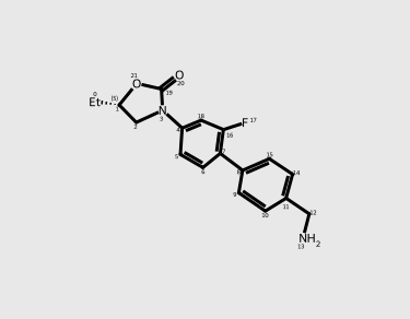 CC[C@H]1CN(c2ccc(-c3ccc(CN)cc3)c(F)c2)C(=O)O1